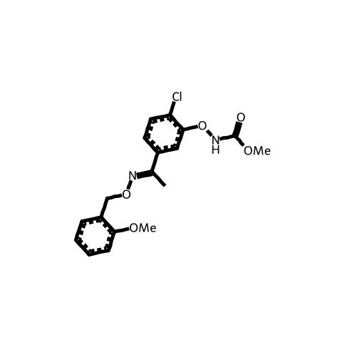 COC(=O)NOc1cc(/C(C)=N/OCc2ccccc2OC)ccc1Cl